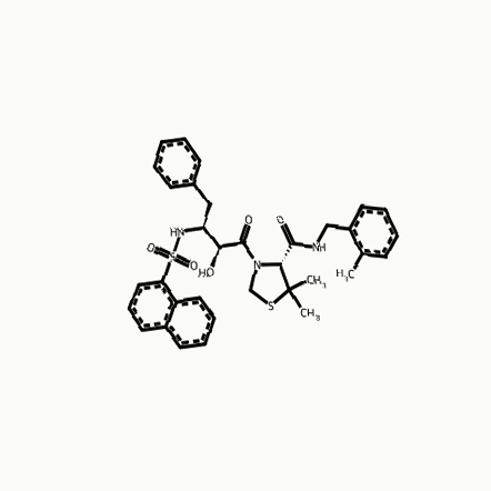 Cc1ccccc1CNC(=O)[C@H]1N(C(=O)[C@@H](O)[C@H](Cc2ccccc2)NS(=O)(=O)c2cccc3ccccc23)CSC1(C)C